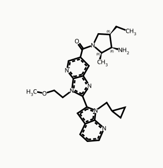 CC[C@@H]1CN(C(=O)c2cnc3c(c2)nc(-c2cc4cccnc4n2CC2CC2)n3CCOC)[C@H](C)[C@@H]1N